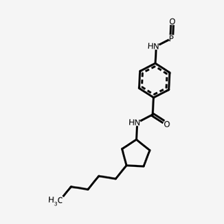 CCCCCC1CCC(NC(=O)c2ccc(NP=O)cc2)C1